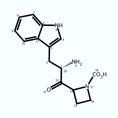 N[C@@H](Cc1c[nH]c2ccccc12)C(=O)C1CCN1C(=O)O